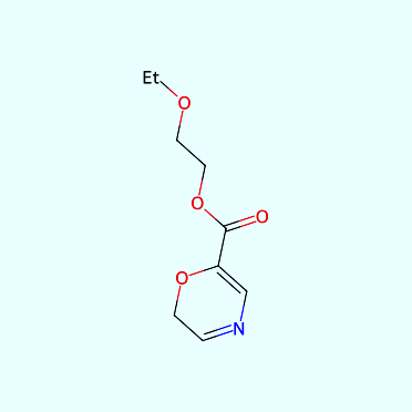 CCOCCOC(=O)C1=CN=CCO1